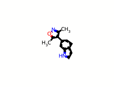 Cc1noc(C)c1-c1ccc2c[c][nH]c2c1